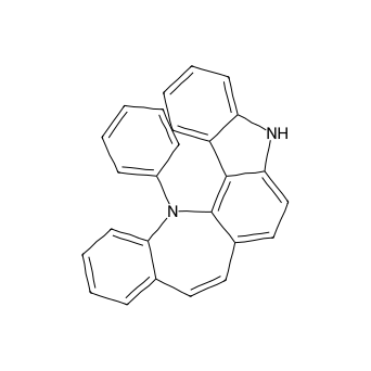 C1=Cc2ccc3[nH]c4ccccc4c3c2N(c2ccccc2)c2ccccc21